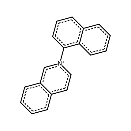 c1ccc2c[n+](-c3cccc4ccccc34)ccc2c1